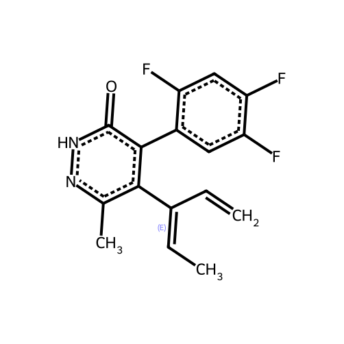 C=C/C(=C\C)c1c(C)n[nH]c(=O)c1-c1cc(F)c(F)cc1F